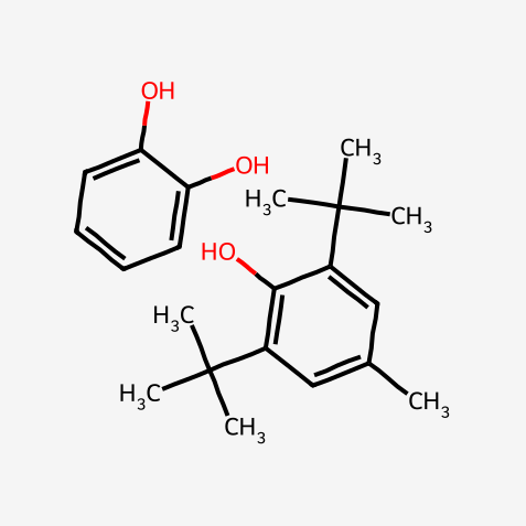 Cc1cc(C(C)(C)C)c(O)c(C(C)(C)C)c1.Oc1ccccc1O